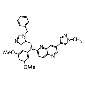 COC1=CC(N(CC2CN=CN2Cc2ccccc2)c2ccc3ncc(-c4cnn(C)c4)cc3n2)=CC(OC)C1